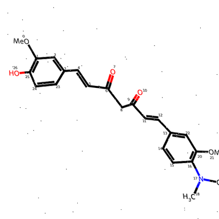 COc1cc(/C=C/C(=O)CC(=O)/C=C/c2ccc(N(C)C)c(OC)c2)ccc1O